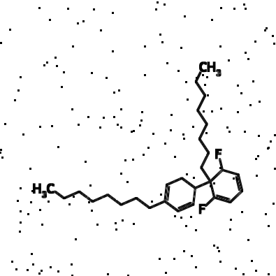 CCCCCCCCC1=CCC(C2(CCCCCCCC)C(F)=CC=CC2F)C=C1